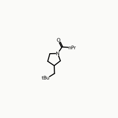 CCCC(=O)N1CCC(CC(C)(C)C)C1